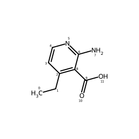 CCc1ccnc(N)c1C(=O)O